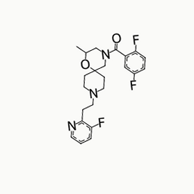 CC1CN(C(=O)c2cc(F)ccc2F)CC2(CCN(CCc3ncccc3F)CC2)O1